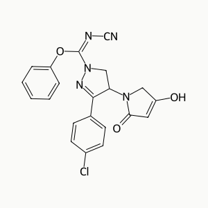 N#CN=C(Oc1ccccc1)N1CC(N2CC(O)=CC2=O)C(c2ccc(Cl)cc2)=N1